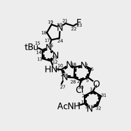 CC(=O)Nc1cc(Oc2cnc3nc(Nc4cc(C(C)(C)C)n(C5CCN(CCF)C5)n4)n(C)c3c2Cl)ccn1